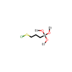 CCO[Si](CCCSCl)(OCC)OCC